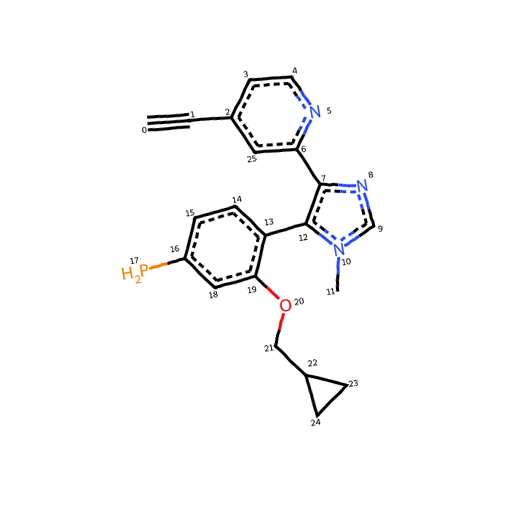 C#Cc1ccnc(-c2ncn(C)c2-c2ccc(P)cc2OCC2CC2)c1